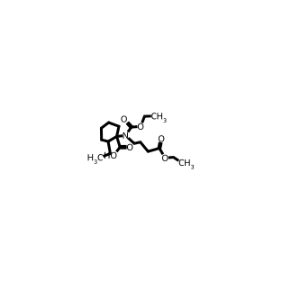 CCOC(=O)CCCN(C(=O)OCC)C1(C(=O)O)CCCCC1CC